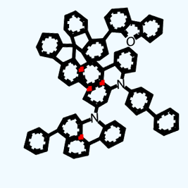 c1ccc(-c2ccc(N(c3cc(-c4ccc5c(c4)C4(c6ccccc6-5)c5ccccc5-c5c(-c6cccc7c6oc6ccccc67)cccc54)cc(N(c4ccc(-c5ccccc5)cc4)c4ccccc4-c4ccccc4)c3)c3ccccc3-c3ccccc3)cc2)cc1